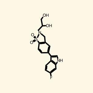 O=S1(=O)c2ccc(-c3c[nH]c4cc(F)ccc34)cc2CN1CC(O)CO